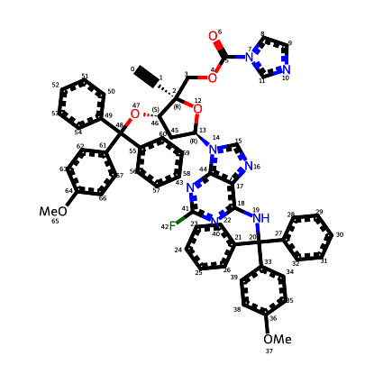 C#C[C@]1(COC(=O)n2ccnc2)O[C@@H](n2cnc3c(NC(c4ccccc4)(c4ccccc4)c4ccc(OC)cc4)nc(F)nc32)C[C@@H]1OC(c1ccccc1)(c1ccccc1)c1ccc(OC)cc1